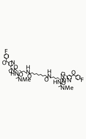 CN[C@@H](C)C(=O)N[C@@H](CCCCNC(=O)CCCCCCCC(=O)NCCCC[C@H](NC(=O)[C@H](C)NC)C(=O)N1CCC[C@H]1c1cncc(C(=O)c2ccc(F)cc2)c1)C(=O)N1CCC[C@H]1c1cncc(C(=O)c2ccc(F)cc2)c1